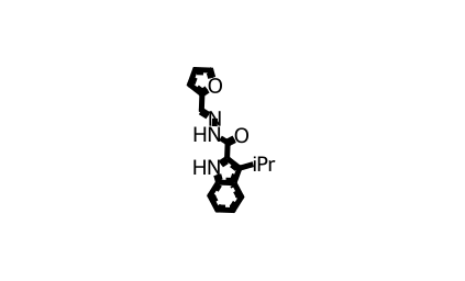 CC(C)c1c(C(=O)NN=Cc2ccco2)[nH]c2ccccc12